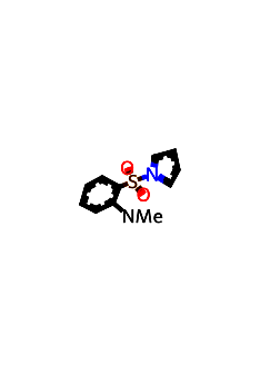 CNc1ccccc1S(=O)(=O)n1cccc1